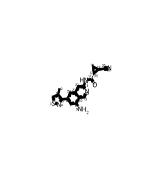 Cc1csnc1-c1cc(N)c2cnc(NC(=O)[C@@H]3CC3C#N)cc2c1